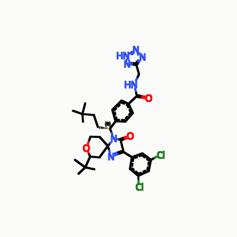 CC(C)(C)CC[C@H](c1ccc(C(=O)NCc2nn[nH]n2)cc1)N1C(=O)C(c2cc(Cl)cc(Cl)c2)=NC12CCOC(C(C)(C)C)C2